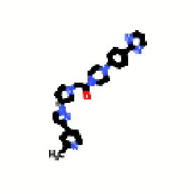 Cc1cc(-c2ccn([C@H]3CCN(CC(=O)N4CCN(c5ccc(-c6ncccn6)cc5)CC4)C3)n2)ccn1